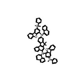 C[SiH](c1ccccc1)c1cc(N(c2cccc3ccccc23)c2cc3c(c4ccccc24)-c2ccc(N(c4cccc5ccccc45)c4cc([Si](C)(C)c5ccccc5)cc5c4oc4ccccc45)cc2C3(C)C)c2oc3ccccc3c2c1